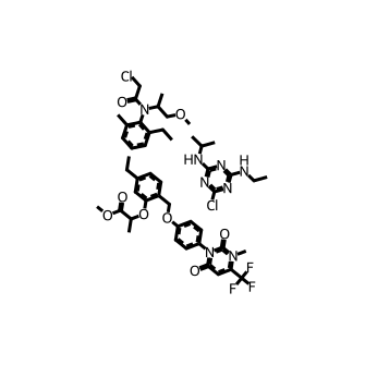 CCNc1nc(Cl)nc(NC(C)C)n1.CCc1ccc(COc2ccc(-n3c(=O)cc(C(F)(F)F)n(C)c3=O)cc2)c(OC(C)C(=O)OC)c1.CCc1cccc(C)c1N(C(=O)CCl)C(C)COC